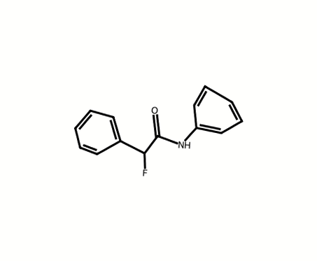 O=C(Nc1ccccc1)C(F)c1ccccc1